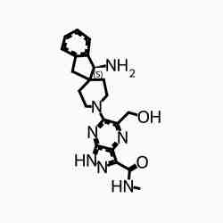 CNC(=O)c1n[nH]c2nc(N3CCC4(CC3)Cc3ccccc3[C@H]4N)c(CO)nc12